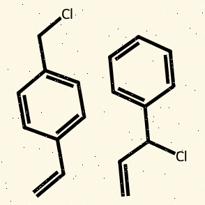 C=CC(Cl)c1ccccc1.C=Cc1ccc(CCl)cc1